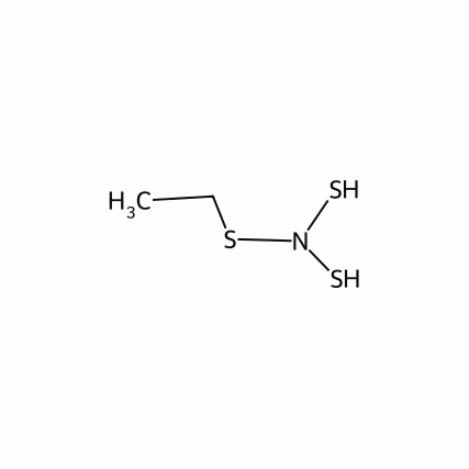 CCSN(S)S